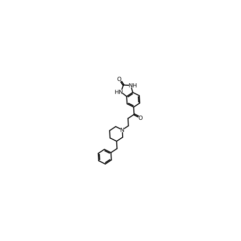 O=C(CCN1CCCC(Cc2ccccc2)C1)c1ccc2[nH]c(=O)[nH]c2c1